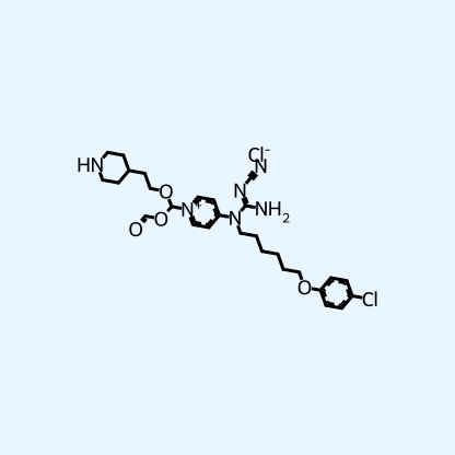 N#CN=C(N)N(CCCCCCOc1ccc(Cl)cc1)c1cc[n+](C(OC=O)OCCC2CCNCC2)cc1.[Cl-]